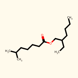 CCCCC(CC)COC(=O)CCCCC(C)C